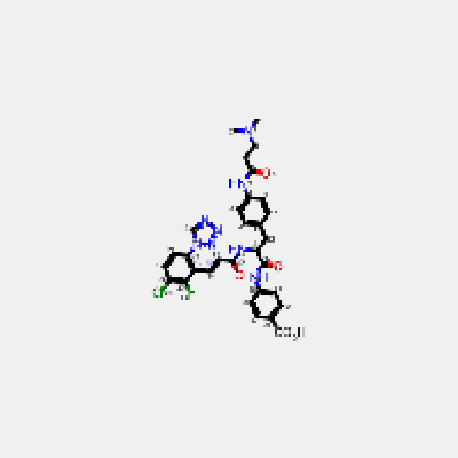 CN(C)CCC(=O)Nc1ccc(CC(NC(=O)/C=C/c2c(-n3cnnn3)ccc(Cl)c2F)C(=O)Nc2ccc(C(=O)O)cc2)cc1